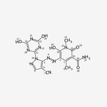 Cc1c(/N=N/c2c(C#N)cnn2-c2nc(O)nc(O)n2)c(O)n(C)c(=O)c1C(N)=O